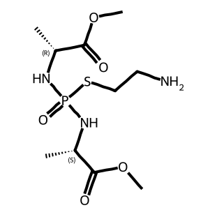 COC(=O)[C@H](C)NP(=O)(N[C@H](C)C(=O)OC)SCCN